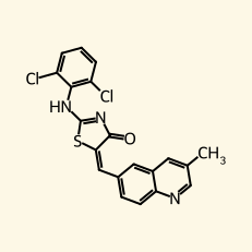 Cc1cnc2ccc(C=C3SC(Nc4c(Cl)cccc4Cl)=NC3=O)cc2c1